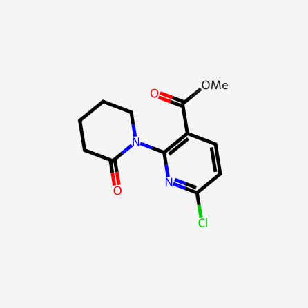 COC(=O)c1ccc(Cl)nc1N1CCCCC1=O